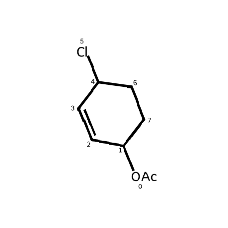 CC(=O)OC1C=CC(Cl)CC1